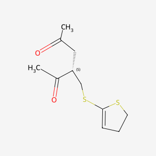 CC(=O)C[C@H](CSC1=CCCS1)C(C)=O